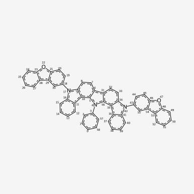 c1ccc(-n2c3c(ccc4c3c3ccccc3n4-c3ccc4oc5ccccc5c4c3)c3ccc4c(c5ccccc5n4-c4ccc5oc6ccccc6c5c4)c32)cc1